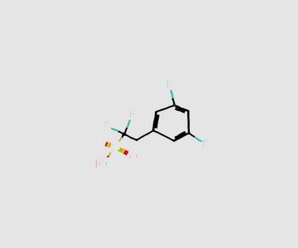 O=S(=O)(O)C(F)(F)Cc1cc(F)cc(F)c1